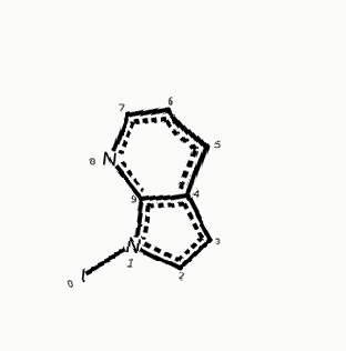 In1ccc2cccnc21